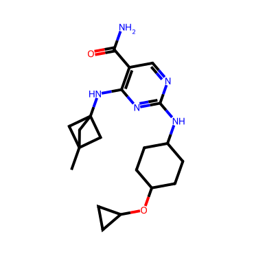 CC12CC(Nc3nc(NC4CCC(OC5CC5)CC4)ncc3C(N)=O)(C1)C2